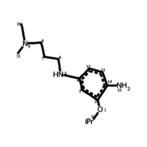 CC(C)Oc1cc(NCCCN(C)C)ccc1N